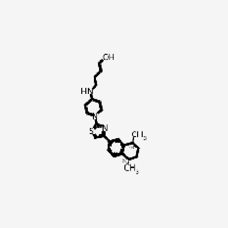 C[C@H]1CC[C@H](C)c2cc(-c3csc(N4CCC(NCCCCO)CC4)n3)ccc21